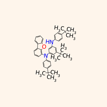 CC(C)(C)c1ccc(Nc2cc(N(c3ccc(C(C)(C)C)cc3)c3cccc4c3oc3ccccc34)cc(C(C)(C)C)c2)cc1